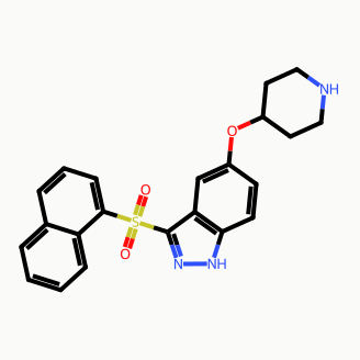 O=S(=O)(c1cccc2ccccc12)c1n[nH]c2ccc(OC3CCNCC3)cc12